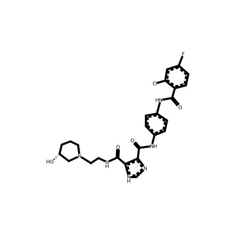 O=C(Nc1ccc(NC(=O)c2nc[nH]c2C(=O)NCCN2CCC[C@@H](O)C2)cc1)c1ccc(F)cc1Cl